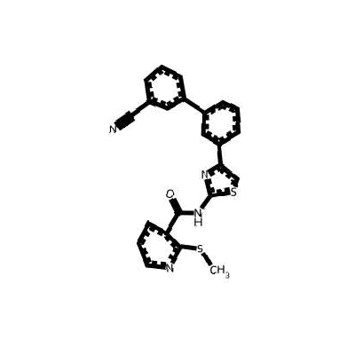 CSc1ncccc1C(=O)Nc1nc(-c2cccc(-c3cccc(C#N)c3)c2)cs1